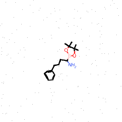 CC1(C)OB([C@@H](N)CCCc2ccccc2)OC1(C)C